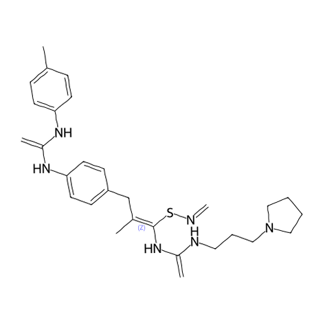 C=NS/C(NC(=C)NCCCN1CCCC1)=C(/C)Cc1ccc(NC(=C)Nc2ccc(C)cc2)cc1